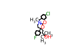 C[C@@H](c1ccc(Cl)cc1)N1CCC(CCC(C)(C)O)(c2ccc(F)cc2)OC1=O